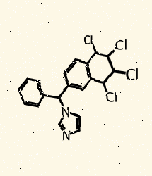 ClC1c2ccc(C(c3ccccc3)n3ccnc3)cc2C(Cl)C(Cl)C1Cl